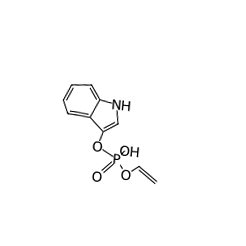 C=COP(=O)(O)Oc1c[nH]c2ccccc12